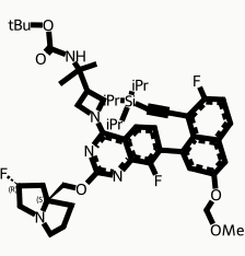 COCOc1cc(-c2ccc3c(N4CC(C(C)(C)NC(=O)OC(C)(C)C)C4)nc(OC[C@@]45CCCN4C[C@H](F)C5)nc3c2F)c2c(C#C[Si](C(C)C)(C(C)C)C(C)C)c(F)ccc2c1